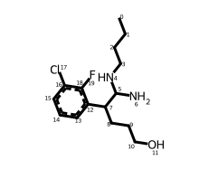 CCCCNC(N)C(CCCO)c1cccc(Cl)c1F